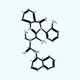 Cc1ccccc1-n1c(C(C)N(CC(C)C)C(=O)Nc2cccc3ccccc23)nc2ccccc2c1=O